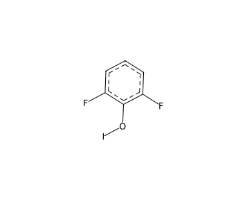 Fc1cccc(F)c1OI